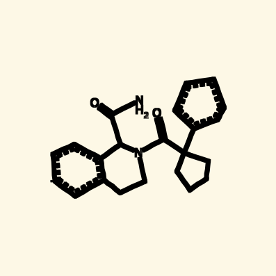 NC(=O)C1c2cc[c]cc2CCN1C(=O)C1(c2ccccc2)CCCC1